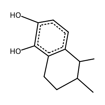 CC1CCc2c(ccc(O)c2O)C1C